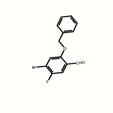 O=Cc1cc(F)c(Br)cc1OCc1ccccc1